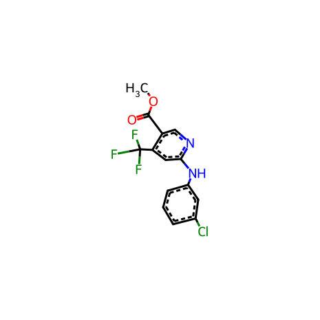 COC(=O)c1cnc(Nc2cccc(Cl)c2)cc1C(F)(F)F